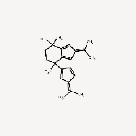 CC(C)=C1C=CC(C2(C)CCC(C)(C)C3=CC(=C(C)C)C=C32)=C1